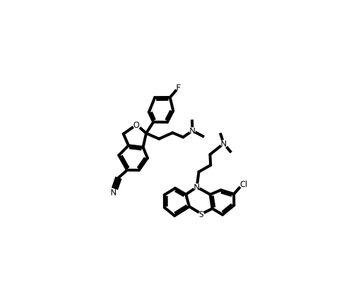 CN(C)CCCC1(c2ccc(F)cc2)OCc2cc(C#N)ccc21.CN(C)CCCN1c2ccccc2Sc2ccc(Cl)cc21